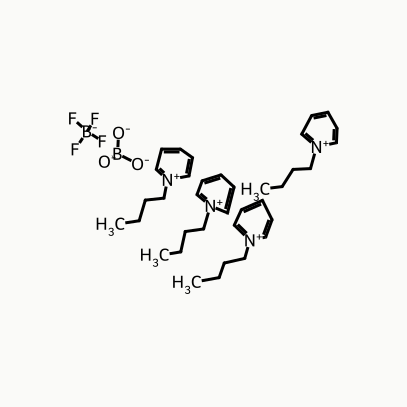 CCCC[n+]1ccccc1.CCCC[n+]1ccccc1.CCCC[n+]1ccccc1.CCCC[n+]1ccccc1.F[B-](F)(F)F.[O-]B([O-])[O-]